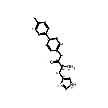 Cc1ccc(C2C=CC(CC(=O)[C@@H](N)Cc3c[nH]cn3)=CC2)cc1